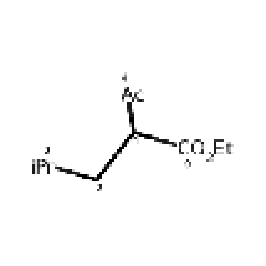 CCOC(=O)C(CC(C)C)C(C)=O